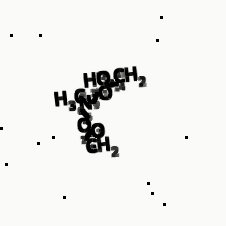 C=CC(=O)OCCN(C)CCOC(O)C=C